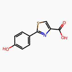 O=C(O)c1csc(-c2ccc(O)cc2)n1